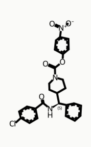 O=C(N[C@H](c1ccccc1)C1CCN(C(=O)Oc2ccc([N+](=O)[O-])cc2)CC1)c1ccc(Cl)cc1